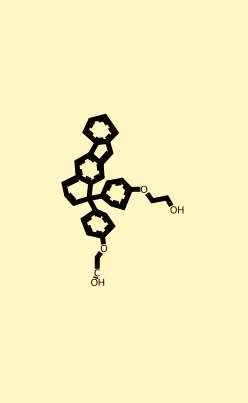 OCCOc1ccc(C2(c3ccc(OCCO)cc3)C=CC=c3cc4c(cc32)=Cc2ccccc2-4)cc1